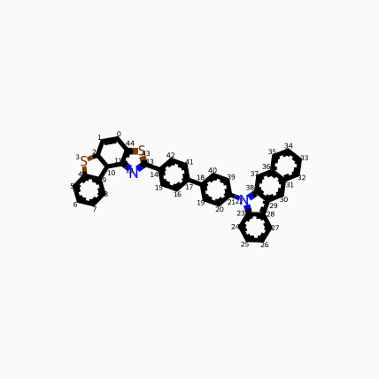 C1=CC2Sc3ccccc3C2c2nc(-c3ccc(-c4ccc(-n5c6ccccc6c6cc7ccccc7cc65)cc4)cc3)sc21